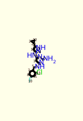 Nc1nc(NCc2ccc(F)cc2Cl)cc(Nc2cc(C3CC3)[nH]n2)n1